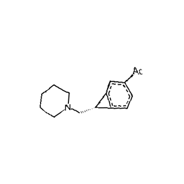 CC(=O)c1ccc2c(c1)[C@H]2CN1CCCCC1